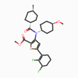 COC(=O)c1sc(C2=C(F)C(F)CCC2)cc1N(C(=O)[C@H]1CC[C@H](C)CC1)[C@H]1CC[C@H](OC)CC1